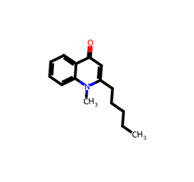 CCCCCc1cc(=O)c2ccccc2n1C